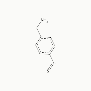 NCc1ccc([C]=S)cc1